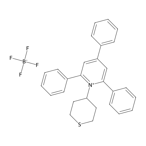 F[B-](F)(F)F.c1ccc(-c2cc(-c3ccccc3)[n+](C3CCSCC3)c(-c3ccccc3)c2)cc1